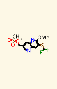 COc1nc2cc(COS(C)(=O)=O)cnc2cc1SC(F)F